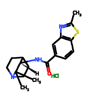 Cc1nc2cc(C(=O)N[C@@H]3C4CCN(CC4)C3(C)C)ccc2s1.Cl